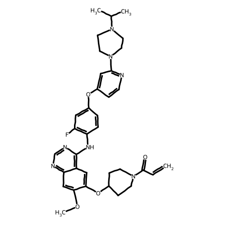 C=CC(=O)N1CCC(Oc2cc3c(Nc4ccc(Oc5ccnc(N6CCN(C(C)C)CC6)c5)cc4F)ncnc3cc2OC)CC1